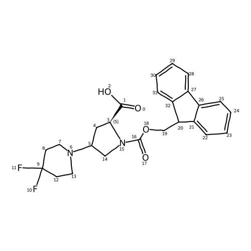 O=C(O)[C@@H]1CC(N2CCC(F)(F)CC2)CN1C(=O)OCC1c2ccccc2-c2ccccc21